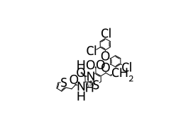 C=CC(Oc1cc(Cl)ccc1Oc1ccc(Cl)cc1Cl)C1=C(C(=O)O)N2C(=O)C(NC(=O)Cc3cccs3)[C@@H]2SC1